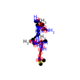 COc1ccc(C#CCNC2(C)CCN(C3CCN(c4nc([C@@](CONC(=O)C(CC(N)=O)CC(N)=O)(OC5CC5)c5ccccc5)c5cc(-c6cn(C)c(=O)c7[nH]ccc67)ccc5n4)CC3)CC2)cc1N1CCC(=O)N(CNC(=O)CNC(=O)[C@H](Cc2ccccc2)NC(=O)CNC(=O)CNC(=O)CCOCCOCCN2C(=O)C(Sc3ccccc3)=C(Sc3ccccc3)C2=O)C1=O